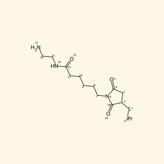 CC(C)SC1CC(=O)N(CCCCCC(=O)NCCN)C1=O